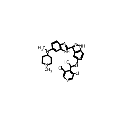 CC(Oc1ccc2[nH]nc(-c3nc4ccc(N(C)C5CCN(C)CC5)cc4[nH]3)c2c1)c1c(Cl)cncc1Cl